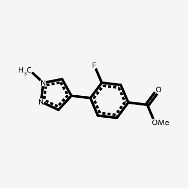 COC(=O)c1ccc(-c2cnn(C)c2)c(F)c1